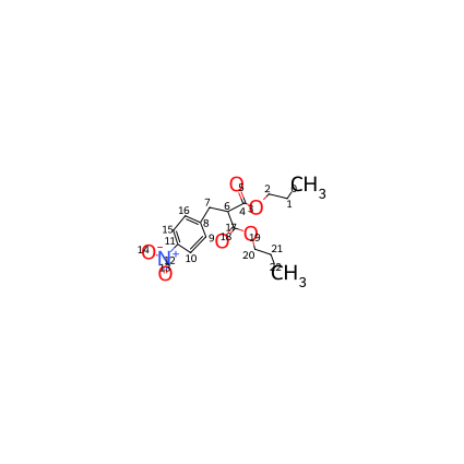 CCCOC(=O)C(Cc1ccc([N+](=O)[O-])cc1)C(=O)OCCC